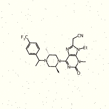 CCn1c(CC#N)nc2c(N3C[C@@H](C)N(C(C)c4ccc(C(F)(F)F)cc4)C[C@@H]3C)nc(=O)n(C)c21